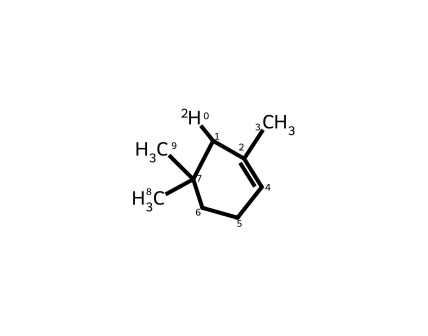 [2H]C1C(C)=CCCC1(C)C